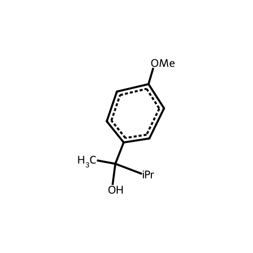 COc1ccc(C(C)(O)C(C)C)cc1